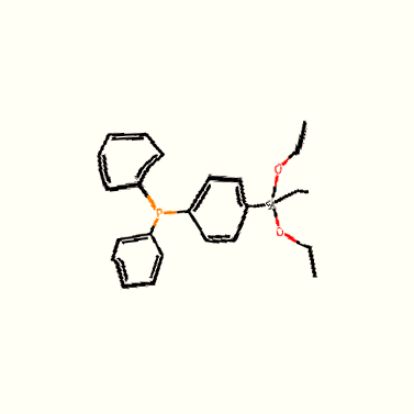 CCO[Si](C)(OCC)c1ccc(P(c2ccccc2)c2ccccc2)cc1